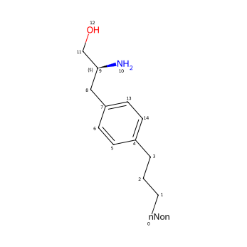 CCCCCCCCCCCCc1ccc(C[C@H](N)CO)cc1